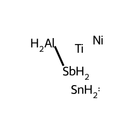 [AlH2][SbH2].[Ni].[SnH2].[Ti]